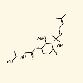 CO[C@H]1[C@H](C(C)(C)OCC=C(C)C)[C@@](O)(I)CC[C@H]1OC(=O)CNC(C)C(C)(C)C